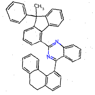 CC1(c2ccccc2)c2ccccc2-c2c(-c3nc(-c4cccc5c4-c4ccccc4CC5)c4ccccc4n3)cccc21